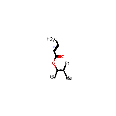 CCCCC(CC)C(OC(=O)/C=C/C(=O)O)C(C)(C)C